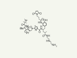 CC[C@H](C)[C@H](NC(=O)C(C)(C)N(C)C)C(=O)N(C)[C@H](C[C@@H](OC(C)=O)c1nc(C(=O)NC(Cc2ccc(O)c(NC(=O)CCCN3C(=O)C=CC3=O)c2)CC(C)C(=O)NCCNCCN)cs1)C(C)C